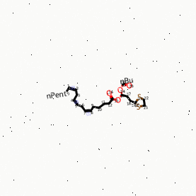 CCCCC/C=C\C/C=C\C/C=C\CCCCC(=O)OC(CCC1SCCS1)OC(=O)CCCC